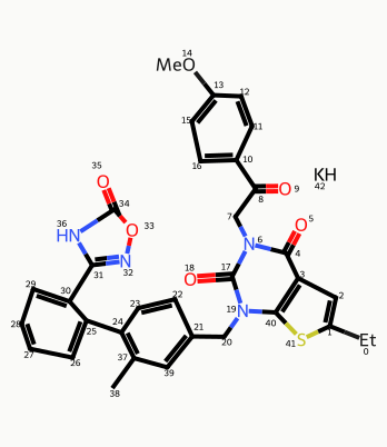 CCc1cc2c(=O)n(CC(=O)c3ccc(OC)cc3)c(=O)n(Cc3ccc(-c4ccccc4-c4noc(=O)[nH]4)c(C)c3)c2s1.[KH]